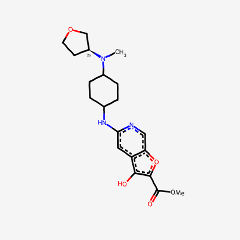 COC(=O)c1oc2cnc(NC3CCC(N(C)[C@H]4CCOC4)CC3)cc2c1O